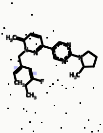 C=C1C=CC(c2cnc(N3CCCC3C)nc2)=NN1CC(/C=C(/F)CC)=C/C